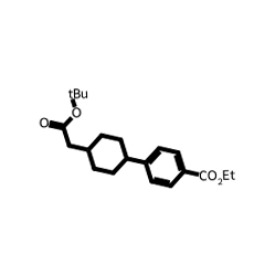 CCOC(=O)c1ccc(C2CCC(CC(=O)OC(C)(C)C)CC2)cc1